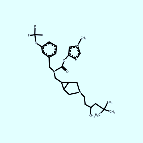 CC(CCN1CC2C(C1)C2CN(Cc1cccc(OC(F)(F)F)c1)C(=O)Oc1cn(C)cn1)CC(C)(C)C